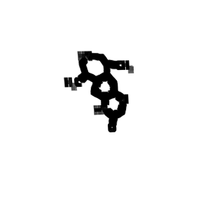 C=C1CNCC(=C)c2cc3[nH]c(=O)cnc3cc21